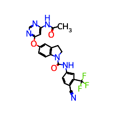 CC(=O)Nc1cc(Oc2ccc3c(c2)CCN3C(=O)Nc2ccc(C#N)c(C(F)(F)F)c2)ncn1